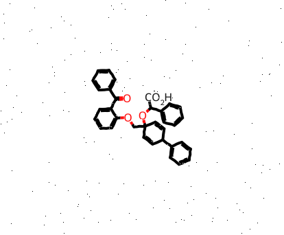 O=C(c1ccccc1)c1ccccc1OCC1(OC(C(=O)O)c2ccccc2)C=CC(c2ccccc2)C=C1